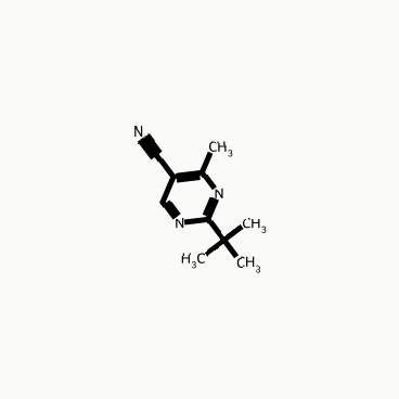 Cc1nc(C(C)(C)C)ncc1C#N